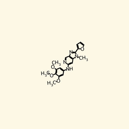 COc1cc(Nc2cc3c(cn2)nc(-c2ccco2)n3C)cc(OC)c1OC